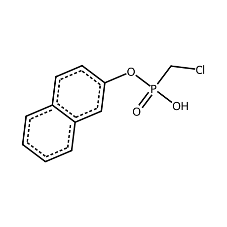 O=P(O)(CCl)Oc1ccc2ccccc2c1